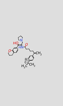 C=C(CCCCC(=O)N[C@H](CN1CCCC1)[C@H](O)c1ccc2c(c1)OCCC2)c1ccc(C(C)(C)C)cc1